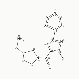 Cc1nc(-c2ccncc2)sc1C(=O)N1CCC(CN)C1